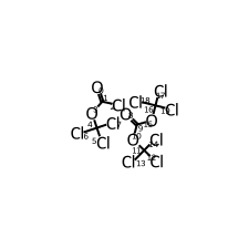 O=C(Cl)OC(Cl)(Cl)Cl.O=C(OC(Cl)(Cl)Cl)OC(Cl)(Cl)Cl